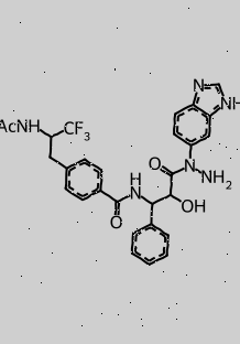 CC(=O)NC(Cc1ccc(C(=O)NC(c2ccccc2)C(O)C(=O)N(N)c2ccc3nc[nH]c3c2)cc1)C(F)(F)F